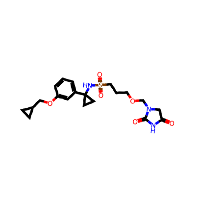 O=C1CN(COCCCS(=O)(=O)NC2(c3cccc(OCC4CC4)c3)CC2)C(=O)N1